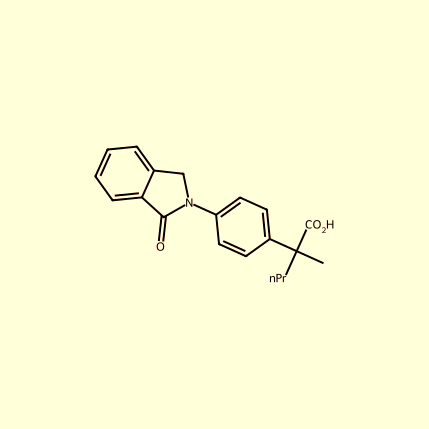 CCCC(C)(C(=O)O)c1ccc(N2Cc3ccccc3C2=O)cc1